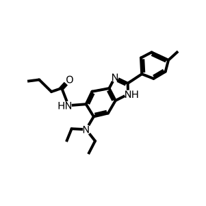 CCCC(=O)Nc1cc2nc(-c3ccc(C)cc3)[nH]c2cc1N(CC)CC